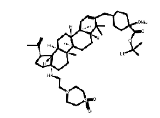 C=C(C)[C@@H]1CC[C@]2(NCCN3CCS(=O)(=O)CC3)CC[C@]3(C)[C@H](CC[C@@H]4[C@@]5(C)CC=C(CC6CCC(OC)(C(=O)OC(C)(C)CC)CC6)C(C)(C)[C@@H]5CC[C@]43C)[C@@H]12